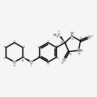 C[C@@]1(c2ccc(O[C@@H]3CCCCO3)cc2)NC(=O)NC1=O